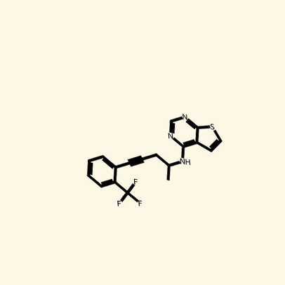 CC(CC#Cc1ccccc1C(F)(F)F)Nc1ncnc2sccc12